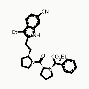 CCOC(=O)C(c1ccccc1)N1CCC[C@@H]1C(=O)N1CCC[C@H]1CCc1[nH]c2cc(C#N)ccc2c1CC